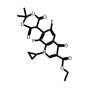 CCOC(=O)c1cn(C2CC2)c2c(F)c(C3C(=O)OC(C)(C)OC3=O)c(F)cc2c1=O